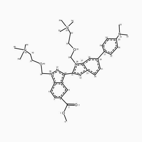 COC(=O)c1ccc2c(c1)c(-c1nc3ccc(-c4ccc(N(C)C)cc4)cc3n1COCC[Si](C)(C)C)nn2COCC[Si](C)(C)C